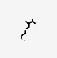 CCOC(=O)CCOCC(I)C(I)I